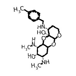 CN[C@H]1CC2OC3OCC[C@@H](NCc4ccc(C)cc4)[C@]3(O)OC2[C@@H](NC)[C@H]1O